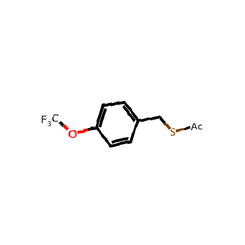 CC(=O)SCc1ccc(OC(F)(F)F)cc1